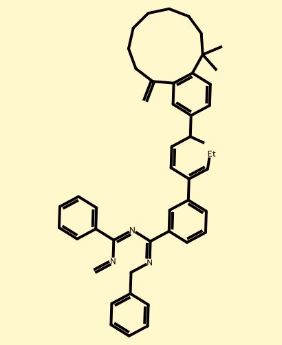 C=N/C(=N\C(=N/Cc1ccccc1)c1cccc(C(/C=C\C(C)c2ccc3c(c2)C(=C)CCCCCCCC3(C)C)=C/CC)c1)c1ccccc1